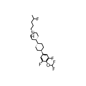 CC(F)CCC[Si@H]1CC[C@H]([C@H]2CC[C@H](c3cc(F)c(OC(F)F)c(F)c3)CC2)CC1